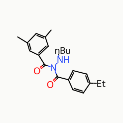 CCCCNN(C(=O)c1ccc(CC)cc1)C(=O)c1cc(C)cc(C)c1